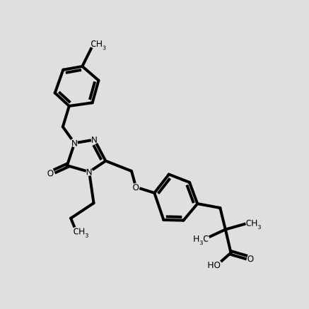 CCCn1c(COc2ccc(CC(C)(C)C(=O)O)cc2)nn(Cc2ccc(C)cc2)c1=O